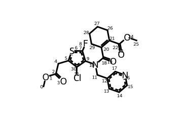 COC(=O)Cc1sc(F)c(N(Cc2cccnc2)C(=O)C2=C(C(=O)OC)CCCC2)c1Cl